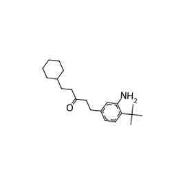 CC(C)(C)c1ccc(CCC(=O)CCC2CCCCC2)cc1N